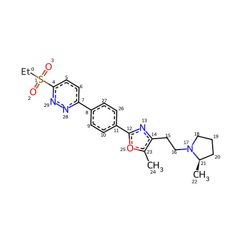 CCS(=O)(=O)c1ccc(-c2ccc(-c3nc(CCN4CCC[C@H]4C)c(C)o3)cc2)nn1